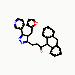 O=C(CCC1=NN=C(c2cccnc2)C1Cc1ccco1)C1c2ccccc2Cc2ccccc21